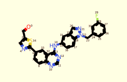 O=Cc1cnc(-c2ccc3ncnc(Nc4ccc5c(cnn5Cc5cccc(F)c5)c4)c3c2)s1